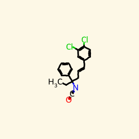 CCC(CC=Cc1ccc(Cl)c(Cl)c1)(N=C=O)c1ccccc1